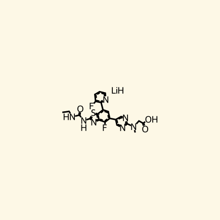 CCNC(=O)Nc1nc2c(F)c(-c3cnc(N(C)CC(=O)O)nc3)cc(-c3ncccc3F)c2s1.[LiH]